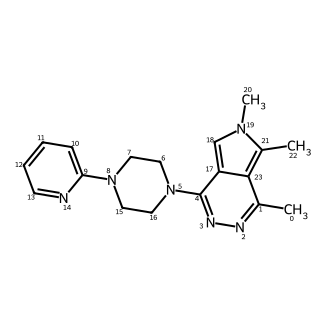 Cc1nnc(N2CCN(c3ccccn3)CC2)c2cn(C)c(C)c12